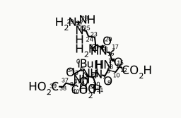 CC[C@H](C)[C@H](NC(=O)[C@@H](NC(=O)[C@H](CCC(=O)O)NC(=O)[C@H](C)NC(=O)[C@@H](N)CCCNC(=N)N)[C@@H](C)O)C(=O)N[C@@H](CCC(=O)O)C(=O)O